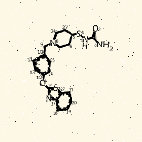 NC(=O)NSC1CCN(Cc2ccc(Oc3nc4ccccc4s3)cc2)CC1